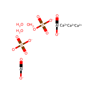 O.O.O.O=S(=O)([O-])[O-].O=S(=O)([O-])[O-].[Ca+2].[Ca+2].[Ca+2].[O]=[Al][O-].[O]=[Al][O-]